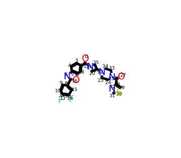 O=C(c1ccc2nc(-c3ccc(F)c(F)c3)oc2c1)N1CC(N2CCN(C(=O)c3cscn3)CC2)C1